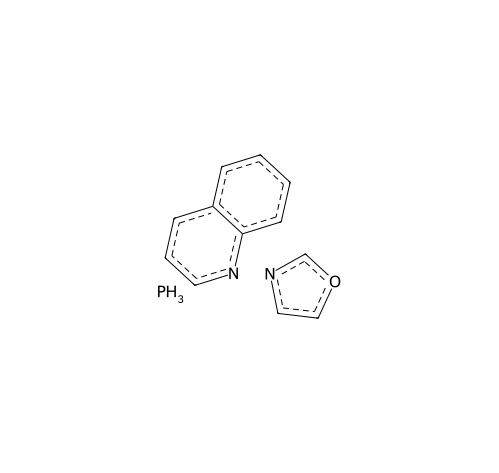 P.c1ccc2ncccc2c1.c1cocn1